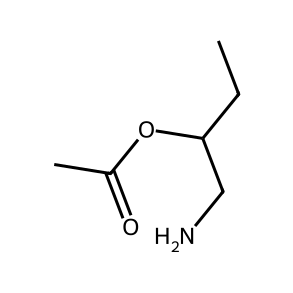 CCC(CN)OC(C)=O